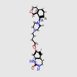 O=C1NCCc2ccc(OCCCCN3CCN(c4cccc5c4COCC5)CC3)cc2N1